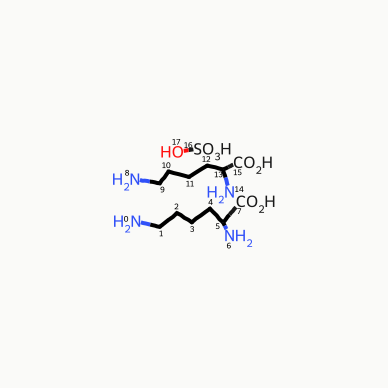 NCCCCC(N)C(=O)O.NCCCCC(N)C(=O)O.O=S(=O)(O)O